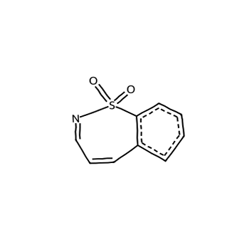 O=S1(=O)N=CC=Cc2ccccc21